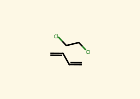 C=CC=C.ClCCCl